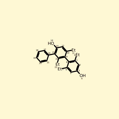 CCc1cc(O)cc(CC)c1-c1c(CC)cc(O)c(-c2ccccc2)c1CC